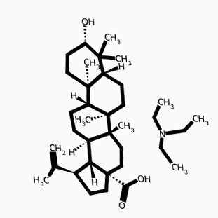 C=C(C)[C@@H]1CC[C@]2(C(=O)O)CC[C@]3(C)[C@H](CC[C@@H]4[C@@]5(C)CC[C@H](O)C(C)(C)[C@@H]5CC[C@]43C)[C@@H]12.CCN(CC)CC